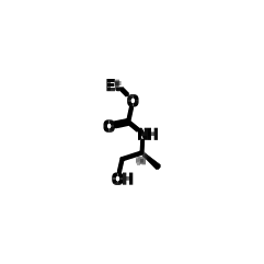 CCOC(=O)N[C@@H](C)CO